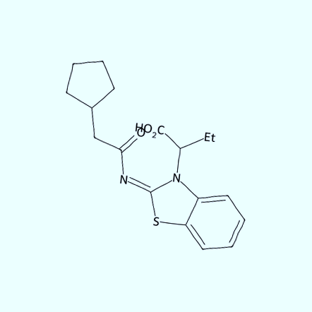 CCC(C(=O)O)n1/c(=N\C(=O)CC2CCCC2)sc2ccccc21